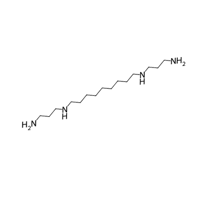 NCCCNCCCCCCCCCNCCCN